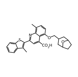 Cc1c(-c2cc(C(=O)O)c3c(OCC4CC5CCC(C4)O5)ccc(C)c3n2)sc2ccccc12